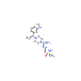 C[C@@H](c1ccc2scnc2c1)N1CCN(/C(N)=N/C=C/[S@@](C)(=N)=O)CC1